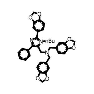 CCCCn1c(-c2ccc3c(c2)OCO3)nc(-c2ccccc2)c1CN(Cc1ccc2c(c1)OCO2)Cc1ccc2c(c1)OCO2